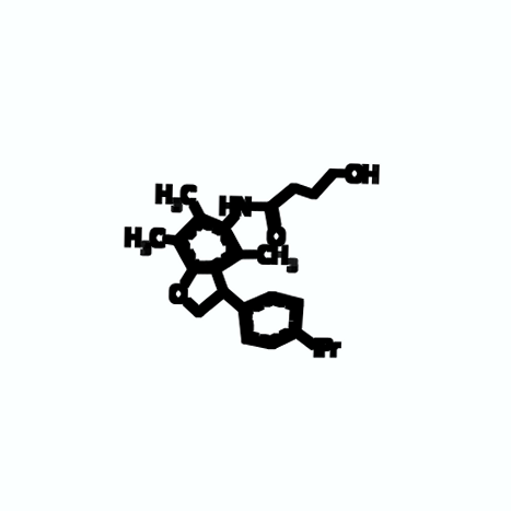 Cc1c(C)c2c(c(C)c1NC(=O)CCCO)C(c1ccc(C(C)C)cc1)CO2